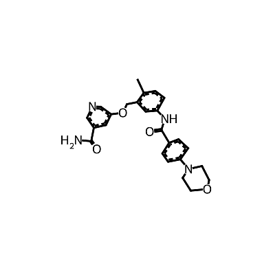 Cc1ccc(NC(=O)c2ccc(N3CCOCC3)cc2)cc1COc1cncc(C(N)=O)c1